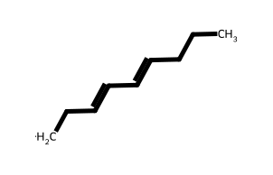 [CH2]CC=CC=CCCC